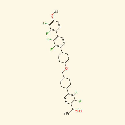 CCCC(O)c1ccc(C2CCC(COC3CCC(c4ccc(-c5ccc(OCC)c(F)c5F)c(F)c4F)CC3)CC2)c(F)c1F